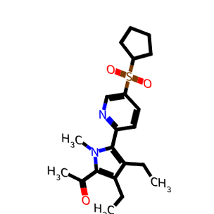 CCc1c(CC)c(-c2ccc(S(=O)(=O)C3CCCC3)cn2)n(C)c1C(C)=O